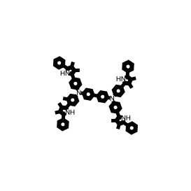 Cc1cc(N(c2ccc(-c3ccc(N(c4ccc(-c5[nH]c(-c6ccccc6)c(C)c5C)cc4)c4ccc(-c5[nH]c(-c6ccccc6)c(C)c5C)cc4)cc3)cc2)c2ccc(-c3[nH]c(-c4ccccc4)c(C)c3C)cc2)ccc1-c1[nH]c(-c2ccccc2)c(C)c1C